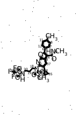 CNC(=O)c1c(-c2ccc(C)cc2)oc2nc(N(CCCNS(=O)(=O)C(F)(F)F)S(C)(=O)=O)c(C3CC3)cc12